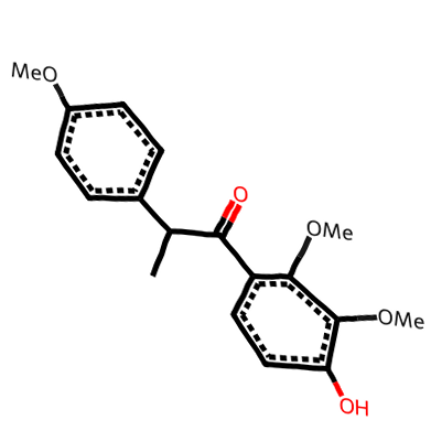 COc1ccc(C(C)C(=O)c2ccc(O)c(OC)c2OC)cc1